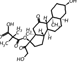 CC(C)(C(=O)O)C(=O)O[C@]1(C(=O)CO)CC[C@H]2[C@@H]3CC[C@@H]4C[C@H](O)CC[C@]4(C)[C@H]3C(=O)C[C@@]21C